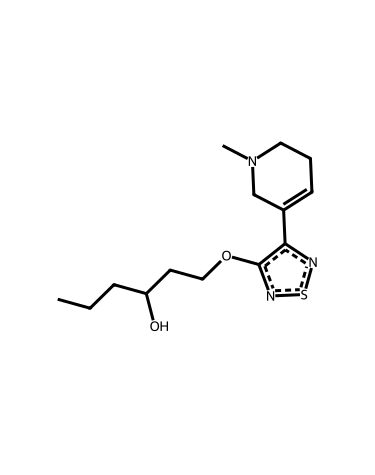 CCCC(O)CCOc1nsnc1C1=CCCN(C)C1